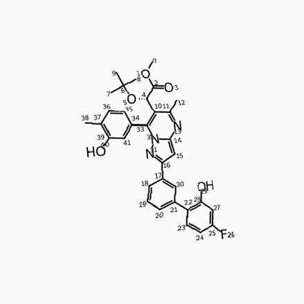 COC(=O)[C@@H](OC(C)(C)C)c1c(C)nc2cc(-c3cccc(-c4ccc(F)cc4O)c3)nn2c1-c1ccc(C)c(O)c1